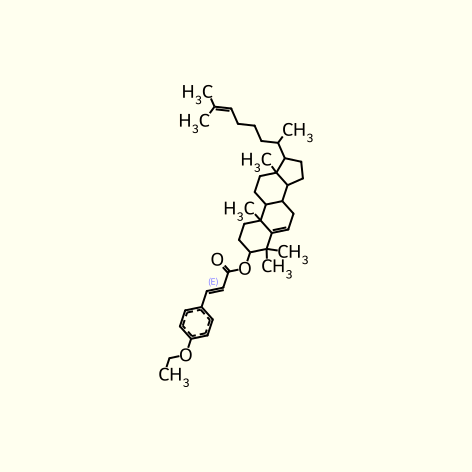 CCOc1ccc(/C=C/C(=O)OC2CCC3(C)C(=CCC4C3CCC3(C)C(C(C)CCCC=C(C)C)CCC43)C2(C)C)cc1